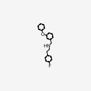 Fc1ccc(CCNCc2cccc(Oc3ccccc3)c2)cc1